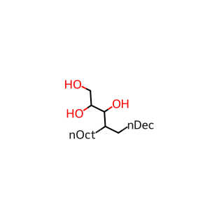 CCCCCCCCCCCC(CCCCCCCC)C(O)C(O)CO